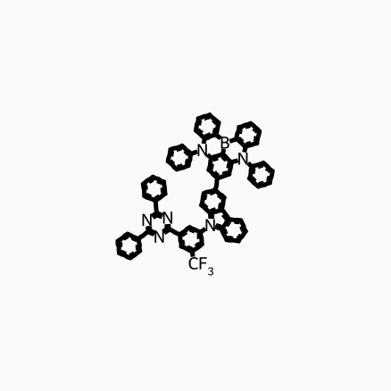 FC(F)(F)c1cc(-c2nc(-c3ccccc3)nc(-c3ccccc3)n2)cc(-n2c3ccccc3c3cc(-c4cc5c6c(c4)N(c4ccccc4)c4ccccc4B6c4ccccc4N5c4ccccc4)ccc32)c1